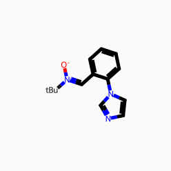 CC(C)(C)/[N+]([O-])=C/c1ccccc1-n1ccnc1